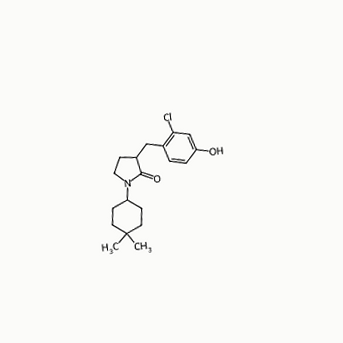 CC1(C)CCC(N2CCC(Cc3ccc(O)cc3Cl)C2=O)CC1